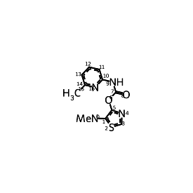 CNc1scnc1OC(=O)Nc1cccc(C)n1